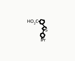 CC(C)c1ccc(-c2cc(-c3cccc(C(=O)O)c3)cs2)cc1